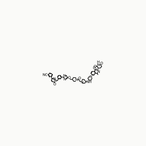 Cc1nn(C2CCC(=O)NC2=O)c(=O)c2ccc(N3CCC(NC4CCN(CC(=O)N5CCC(COc6cnc(-c7cccc(Cn8nc(-c9cccc(C#N)c9)ccc8=O)c7)nc6)CC5)CC4)CC3)cc12